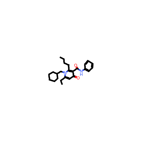 CCCCc1c(C(=O)Nc2ccccc2)c(=O)cc(CC)n1CC1CCCCC1